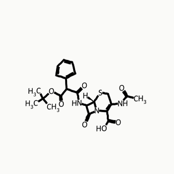 CC(=O)NC1=C(C(=O)O)N2C(=O)C(NC(=O)C(C(=O)OC(C)(C)C)c3ccccc3)[C@@H]2SC1